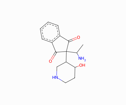 CC(N)C1(C2CNCCC2O)C(=O)c2ccccc2C1=O